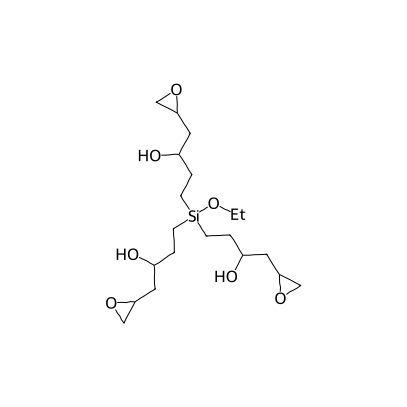 CCO[Si](CCC(O)CC1CO1)(CCC(O)CC1CO1)CCC(O)CC1CO1